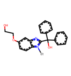 CCn1c(C(O)(c2ccccc2)c2ccccc2)nc2cc(OCCO)ccc21